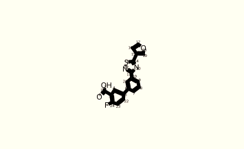 O=C(O)c1cc(-c2cccc(-c3nsc(-c4ccoc4)n3)c2)ccc1F